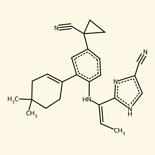 CC=C(Nc1ccc(C2(C#N)CC2)cc1C1=CCC(C)(C)CC1)c1nc(C#N)c[nH]1